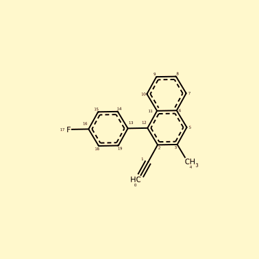 C#Cc1c(C)cc2ccccc2c1-c1ccc(F)cc1